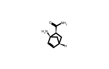 NC(=O)[C@H]1C[C@@H]2C=C[C@@]1(N)C2